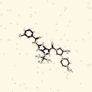 CN1CCN([C@@H]2CN(C(=O)c3nn(C(C)(C)C)c4nc(NC(=O)c5cccc(Cl)c5)sc34)C[C@H]2O)CC1